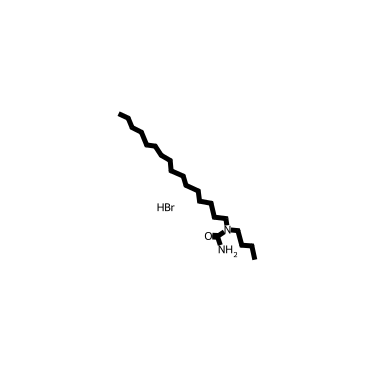 Br.CCCCCCCCCCCCCCCCN(CCCC)C(N)=O